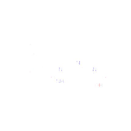 C=C(/N=C(\ON)c1ccc(-c2ccccc2C)c(COC)c1)c1ccc(CN(C)CC(=O)O)nc1